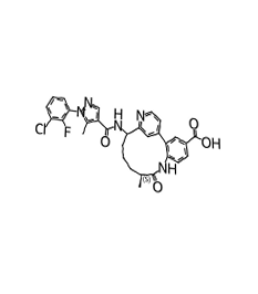 Cc1c(C(=O)NC2CCC[C@H](C)C(=O)Nc3ccc(C(=O)O)cc3-c3ccnc2c3)cnn1-c1cccc(Cl)c1F